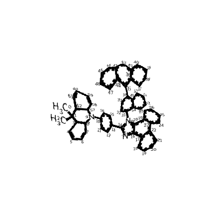 CC1(C)C2C=CC=CC2N(c2ccc(-c3nc4c5ccccc5c5ccccc5c4n3-c3ccc(-c4c5ccccc5cc5ccccc45)c4ccccc34)cc2)C2C=CC=CC21